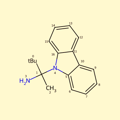 CC(C)(C)C(C)(N)n1c2ccccc2c2ccccc21